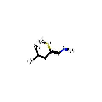 C=N/C=C(/CC(C)C)SC